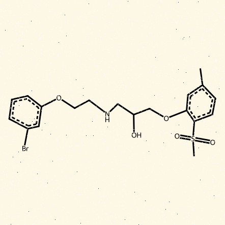 Cc1ccc(S(C)(=O)=O)c(OCC(O)CNCCOc2cccc(Br)c2)c1